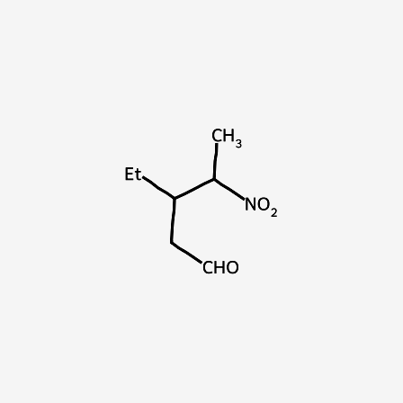 CCC(CC=O)C(C)[N+](=O)[O-]